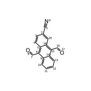 N#Cc1ccc2c(C=O)c3ccccc3c(C=O)c2c1